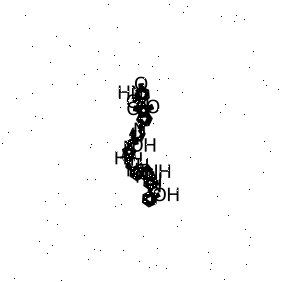 O=C1CCC(N2C(=O)c3ccc(N4CCC(O)(CN5C[C@@H]6C(CN7CCN8c9cc(-c%10ccccc%10O)nnc9NC[C@H]8C7)[C@@H]6C5)CC4)cc3C2=O)C(=O)N1